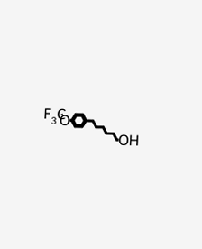 OCCCCCCc1ccc(OC(F)(F)F)cc1